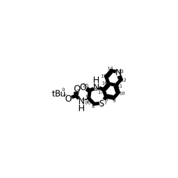 CC(C)(C)OC(=O)N[C@H]1CSc2ccc3cnccc3c2NC1=O